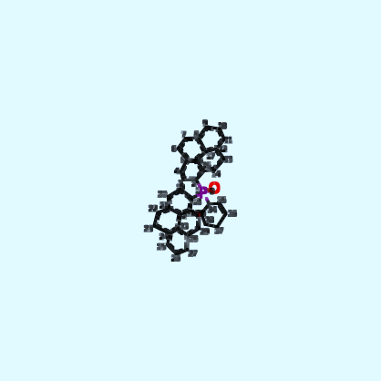 O=P(c1ccc2ccc3cccc4ccc1c2c34)(c1ccc2ccc3cccc4ccc1c2c34)C1C=CCCC1